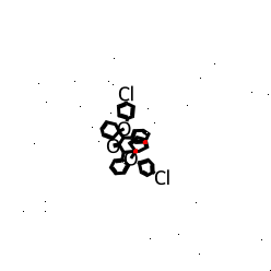 O=C(C(c1ccccc1)C1(Oc2ccc(Cl)cc2)C=CC=CC1)C(c1ccccc1)C1(Oc2ccc(Cl)cc2)C=CC=CC1